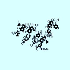 CO/N=C1\CN(c2nc3c(cc2F)c(=O)c(C(=O)O)cn3C2CC2)CC1CN.Cc1nnc(NS(=O)(=O)c2ccc(N)cc2)s1.Cc1oc(=O)oc1CN1CCN(c2cc3c(cc2F)c(=O)c(C(=O)O)c2n3C(C)S2)CC1.NC1[C@H]2CN(c3nc4c(cc3F)c(=O)c(C(=O)O)cn4-c3ccc(F)cc3F)C[C@@H]12.N[C@@H]1CN(c2c(F)cc3c(=O)c(C(=O)O)cn([C@@H]4C[C@@H]4F)c3c2Cl)CC12CC2